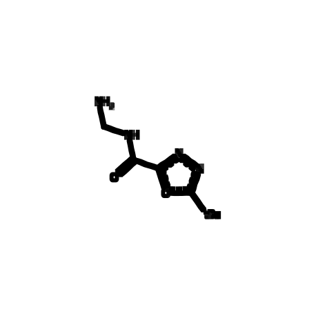 CC(C)(C)c1nnc(C(=O)NCN)o1